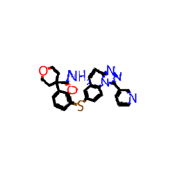 NC(=O)C1(c2cccc(Sc3ccc4c(ccc5nnc(-c6cccnc6)n54)c3)c2)CCOCC1